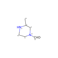 CC1CN([C]=O)CCN1